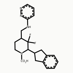 O=C(O)N1CCC(CNc2cccnn2)C(F)(F)C1C1Cc2ccccc2C1